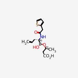 C=CC[C@H](NC(=O)Cc1cccs1)B(O)O[C@@H](C)CC(=O)O